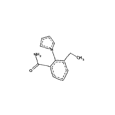 CCc1cccc(C(N)=O)c1-n1cccc1